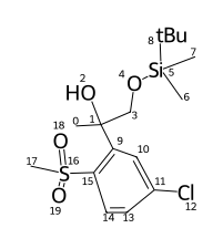 CC(O)(CO[Si](C)(C)C(C)(C)C)c1cc(Cl)ccc1S(C)(=O)=O